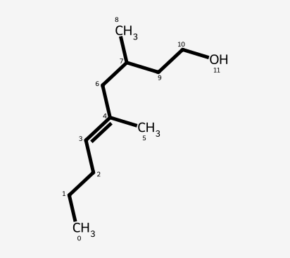 CCC/C=C(\C)CC(C)CCO